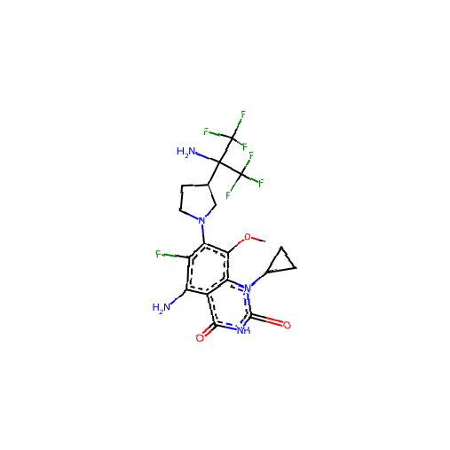 COc1c(N2CCC(C(N)(C(F)(F)F)C(F)(F)F)C2)c(F)c(N)c2c(=O)[nH]c(=O)n(C3CC3)c12